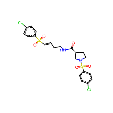 O=C(NCC/C=C/S(=O)(=O)c1ccc(Cl)cc1)[C@H]1CCN(S(=O)(=O)c2ccc(Cl)cc2)C1